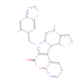 O=c1oc2ncccc2c2c3c4occc4c(F)cc3n(Cc3cc4[nH]cnc4cc3Cl)c12